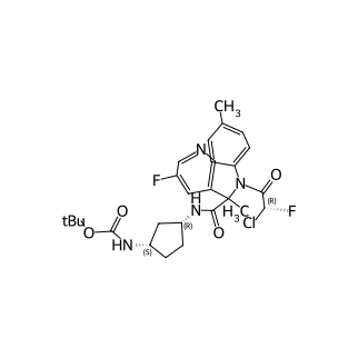 Cc1ccc(N(C(=O)[C@H](F)Cl)C(C)(C(=O)N[C@@H]2CC[C@H](NC(=O)OC(C)(C)C)C2)c2cncc(F)c2)cc1